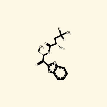 CC[C@H](NC(=O)[C@@H](N)CC(C)(F)F)C(=O)c1nc2ccccc2o1